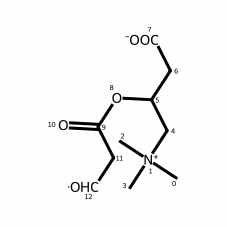 C[N+](C)(C)CC(CC(=O)[O-])OC(=O)C[C]=O